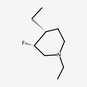 CC[C@@H]1CCN(CC)C[C@@H]1F